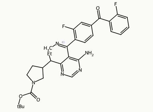 CCC(c1ncnc(N)c1/C(=N\C)c1ccc(C(=O)c2ccccc2F)cc1F)C1CCN(C(=O)OC(C)(C)C)C1